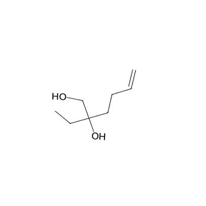 C=CCCC(O)(CC)CO